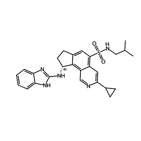 CC(C)CNS(=O)(=O)c1cc2c(c3cnc(C4CC4)cc13)[C@H](Nc1nc3ccccc3[nH]1)CC2